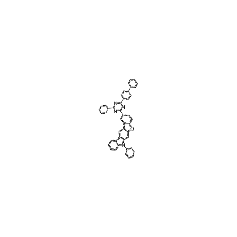 c1ccc(-c2ccc(-c3nc(-c4ccccc4)nc(-c4ccc5oc6cc7c(cc6c5c4)c4ccccc4n7-c4ccccc4)n3)cc2)cc1